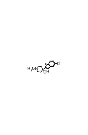 CN1CCC(O)(c2cc3cc(Cl)ccc3s2)CC1